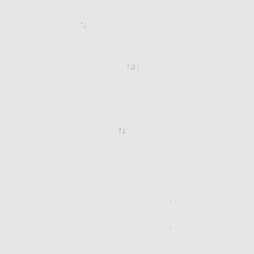 C[C@H](NC(=O)c1ccc2c(ccn2Cc2ccc(-c3cccc(S(C)(=O)=O)c3)cc2)c1)c1ccc([N+](=O)[O-])cc1